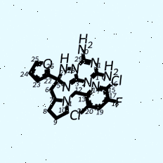 NC1=NC2=NC(CC3CCCN3Cc3nc(Cl)c(F)cc3Cl)(c3ccco3)NN2C(N)=N1